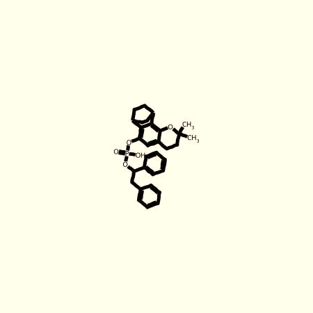 CC1(C)CCc2cc(OP(=O)(O)OC(Cc3ccccc3)c3ccccc3)c3c(c2O1)C1CCC3CC1